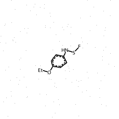 CCOc1ccc(NSF)cc1